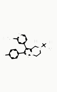 CSC(C)(C)N1CCn2nc(-c3ccc(F)cc3)c(-c3ccnc(NC(C)=O)c3)c2C1